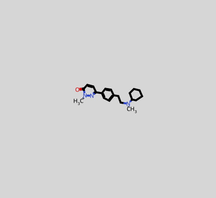 CN(CCc1ccc(-c2ccc(=O)n(C)n2)cc1)C1CCCCC1